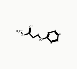 COC(=O)CCOc1ccccc1